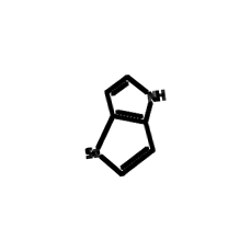 c1cc2[se]ccc2[nH]1